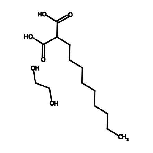 CCCCCCCCCC(C(=O)O)C(=O)O.OCCO